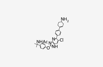 CC(=O)NC(C)(C)c1ccc(Oc2nc3nc(-c4ccc(C5=CCC(N)CC5)cc4)c(Cl)cc3[nH]2)cc1